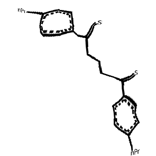 CCCc1ccc(C(=S)CCCC(=S)c2ccc(CCC)cc2)cc1